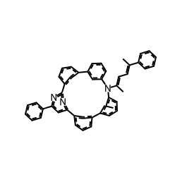 C/C(=C\C=C(/C)N1c2cccc(c2)-c2cccc(c2)-c2nc(-c3ccccc3)cc(n2)-c2cccc(c2)-c2cccc1c2C)c1ccccc1